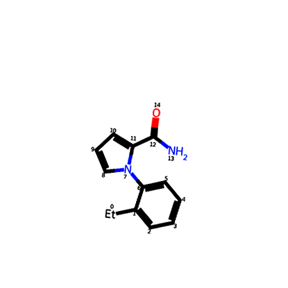 CCc1ccccc1-n1cccc1C(N)=O